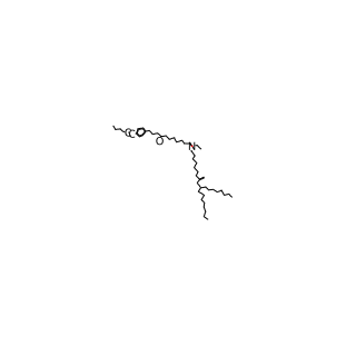 C=C(CCCCCCCN(CC)CCCCCCCC(=O)CCCc1ccc(CCCCCC)cc1)CC(CCCCCCCC)CCCCCCCC